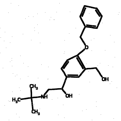 CC(C)(C)NCC(O)c1ccc(OCc2ccccc2)c(CO)c1